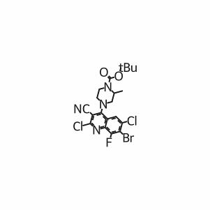 CC1CN(c2c(C#N)c(Cl)nc3c(F)c(Br)c(Cl)cc23)CCN1C(=O)OC(C)(C)C